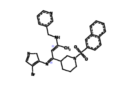 C/C(=C\C(=N/C1=C(Br)C=NC1)C1CCCN(S(=O)(=O)c2ccc3ccccc3c2)C1)NCc1cccnc1